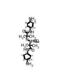 CC(C)(/N=N/C(C)(C)C(=O)Nc1ccc(N)cc1)C(=O)Nc1ccc(N)cc1.Cl.Cl